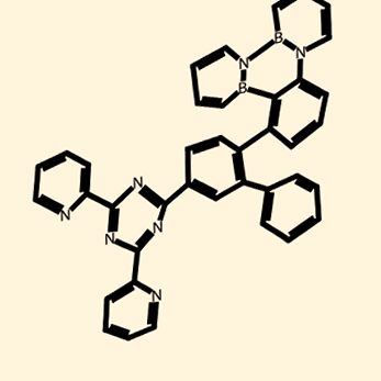 C1=CB2c3c(-c4ccc(-c5nc(-c6ccccn6)nc(-c6ccccn6)n5)cc4-c4ccccc4)cccc3N3C=CC=CB3N2C=C1